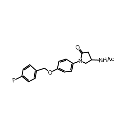 CC(=O)NC1CC(=O)N(c2ccc(OCc3ccc(F)cc3)cc2)C1